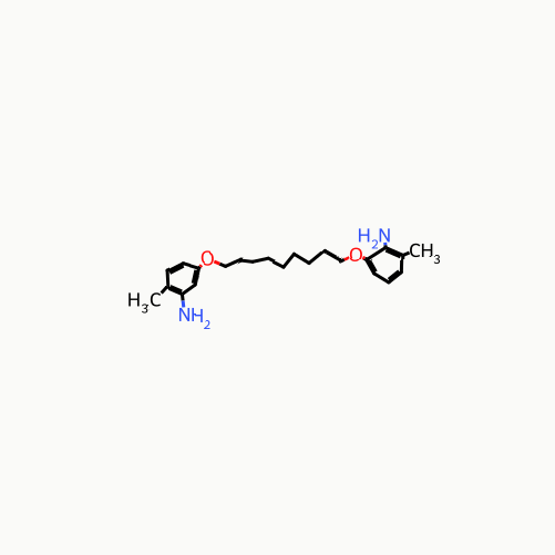 Cc1ccc(OCCCCCCCCCOc2cccc(C)c2N)cc1N